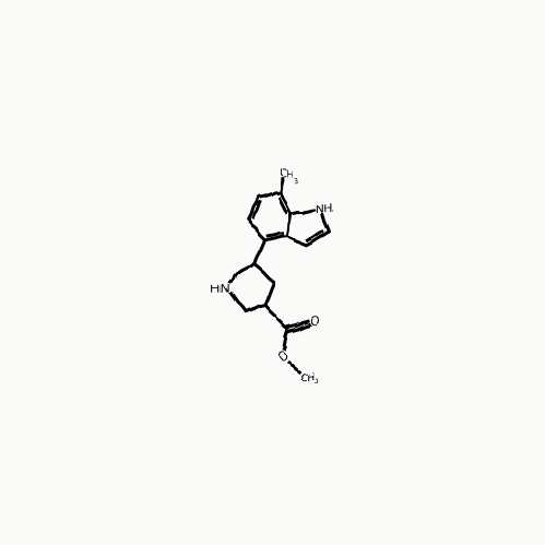 COC(=O)C1CNCC(c2ccc(C)c3[nH]ccc23)C1